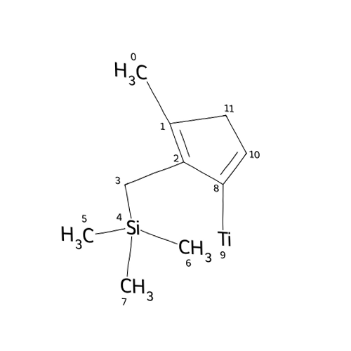 CC1=C(C[Si](C)(C)C)[C]([Ti])=CC1